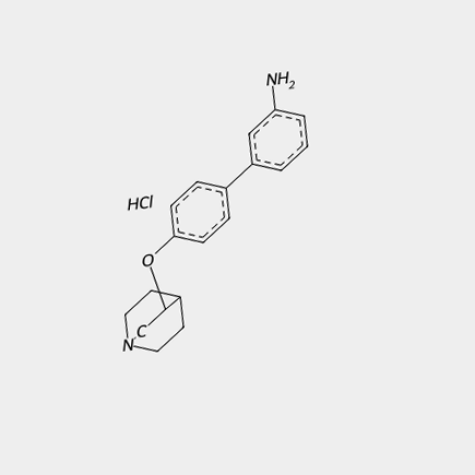 Cl.Nc1cccc(-c2ccc(OC3CN4CCC3CC4)cc2)c1